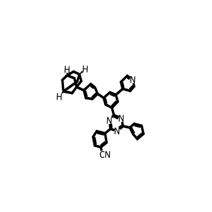 N#Cc1cccc(-c2nc(-c3ccccc3)nc(-c3cc(-c4ccncc4)cc(-c4ccc(C56C[C@H]7C[C@@H](C5)C[C@@H](C6)C7)cc4)c3)n2)c1